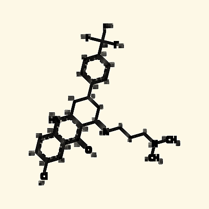 CN(C)CCCN=C1CC(c2ccc(C(F)(F)F)cc2)Cc2[nH]c3ccc(Cl)cc3c(=O)c21